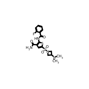 CN(C)C1CN(S(=O)(=O)c2cc(C(N)=O)c(NC(=O)c3ccccc3F)s2)C1